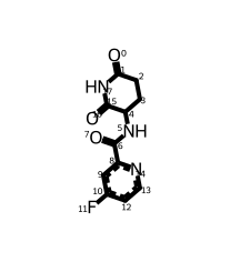 O=C1CCC(NC(=O)c2cc(F)ccn2)C(=O)N1